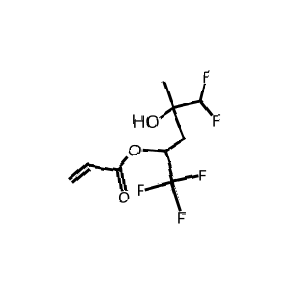 C=CC(=O)OC(CC(C)(O)C(F)F)C(F)(F)F